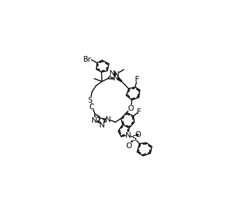 Cc1c2nnn1Cc1c(c(F)cc3c1ccn3S(=O)(=O)c1ccccc1)Oc1ccc(F)c(c1)-c1nc(nn1C)C(C)(c1cccc(Br)c1)CCSC2